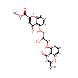 CCCCOC(=O)c1cc(=O)c2c(OCC(O)COc3cccc4oc(C(=O)O)cc(=O)c34)cccc2o1